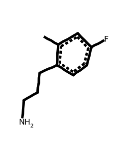 Cc1cc(F)ccc1CCCN